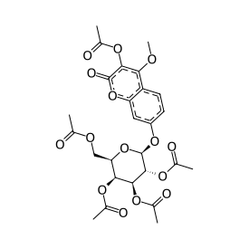 COc1c(OC(C)=O)c(=O)oc2cc(O[C@@H]3O[C@H](COC(C)=O)[C@H](OC(C)=O)[C@H](OC(C)=O)[C@H]3OC(C)=O)ccc12